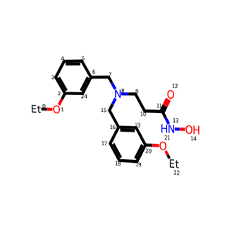 CCOc1cccc(CN(CCC(=O)NO)Cc2cccc(OCC)c2)c1